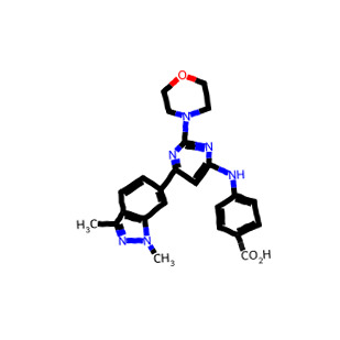 Cc1nn(C)c2cc(-c3cc(Nc4ccc(C(=O)O)cc4)nc(N4CCOCC4)n3)ccc12